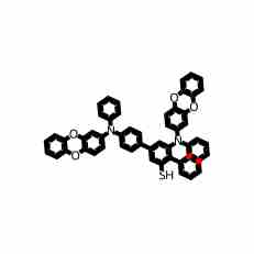 Sc1cc(-c2ccc(N(c3ccccc3)c3ccc4c(c3)Oc3ccccc3O4)cc2)cc(N(c2ccccc2)c2ccc3c(c2)Oc2ccccc2O3)c1-c1ccccc1